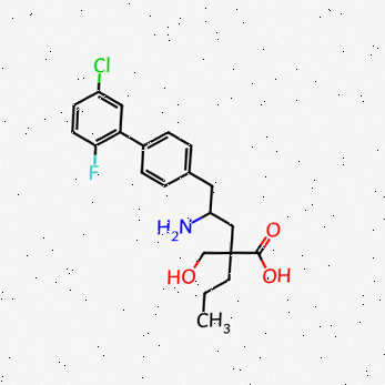 CCCC(CO)(CC(N)Cc1ccc(-c2cc(Cl)ccc2F)cc1)C(=O)O